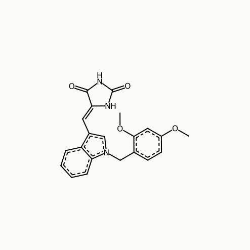 COc1ccc(Cn2cc(/C=C3\NC(=O)NC3=O)c3ccccc32)c(OC)c1